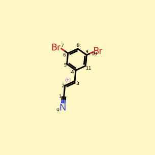 N#C/C=C/c1cc(Br)cc(Br)c1